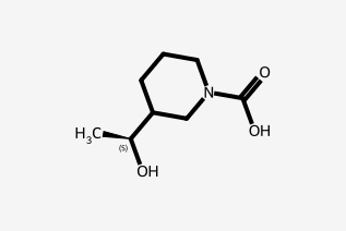 C[C@H](O)C1CCCN(C(=O)O)C1